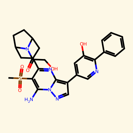 CS(=O)(=O)c1c(C2CC3CCC(C2)N3C(=O)CO)nc2c(-c3cnc(-c4ccccc4)c(O)c3)cnn2c1N